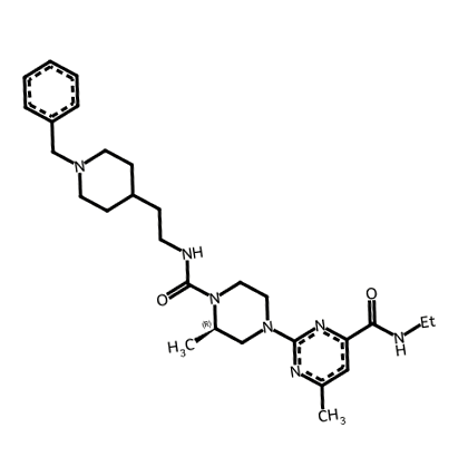 CCNC(=O)c1cc(C)nc(N2CCN(C(=O)NCCC3CCN(Cc4ccccc4)CC3)[C@H](C)C2)n1